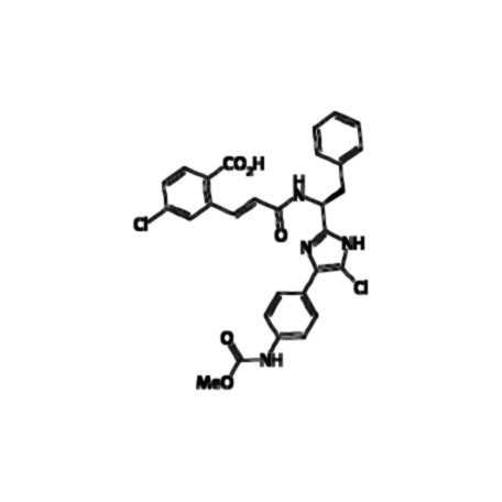 COC(=O)Nc1ccc(-c2nc([C@H](Cc3ccccc3)NC(=O)C=Cc3cc(Cl)ccc3C(=O)O)[nH]c2Cl)cc1